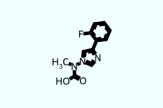 CN(C(=O)O)n1cnc(-c2ccccc2F)c1